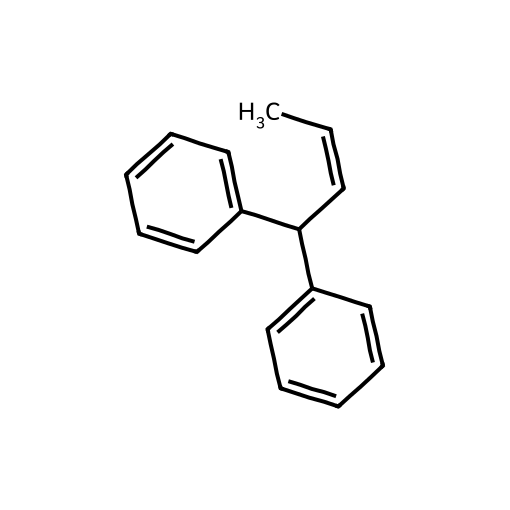 C/C=C\C(c1ccccc1)c1ccccc1